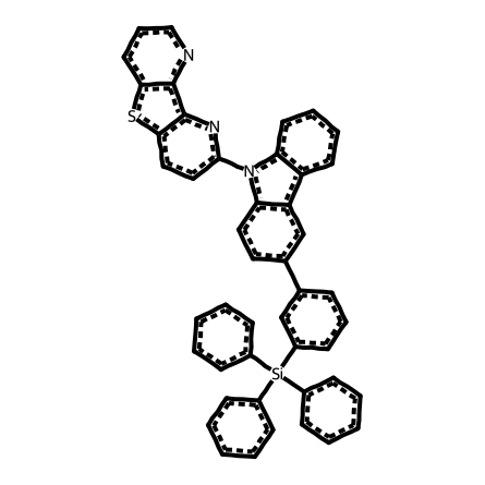 c1ccc([Si](c2ccccc2)(c2ccccc2)c2cccc(-c3ccc4c(c3)c3ccccc3n4-c3ccc4sc5cccnc5c4n3)c2)cc1